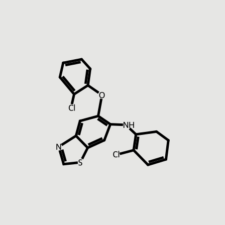 ClC1=C(Nc2cc3scnc3cc2Oc2ccccc2Cl)CCC=C1